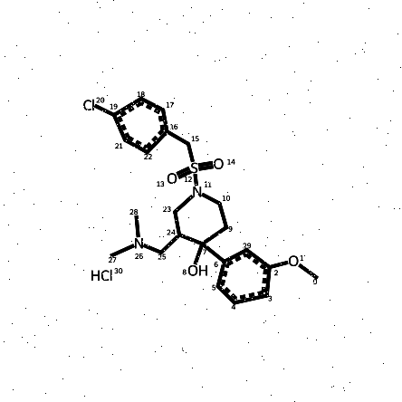 COc1cccc(C2(O)CCN(S(=O)(=O)Cc3ccc(Cl)cc3)CC2CN(C)C)c1.Cl